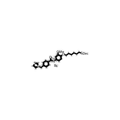 CCCCCCCCCCCCCCCCOc1ccc(NC(=O)c2ccc(C[n+]3ccsc3)cc2)cc1OC.[Br-]